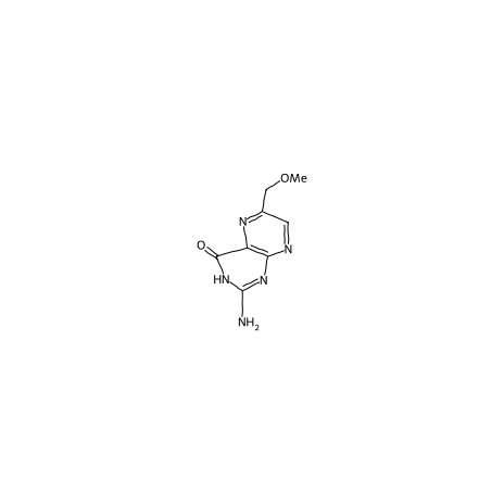 COCc1cnc2nc(N)[nH]c(=O)c2n1